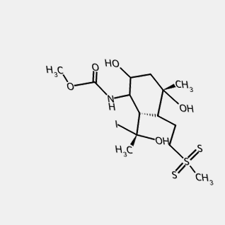 COC(=O)NC1C(O)C[C@](C)(O)C(CCS(C)(=S)=S)[C@@H]1[C@](C)(O)I